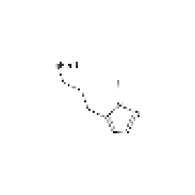 CCCCCCCCc1ccnn1C